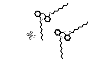 CCCCCCCCOc1ccccc1[I+]c1ccccc1OCCCCCCCC.CCCCCCCCOc1ccccc1[I+]c1ccccc1OCCCCCCCC.O=S(=O)([O-])[O-]